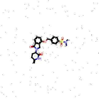 C=C1CCC(N2Cc3c(OCc4ccc(S(=O)(=O)N(C)C)cc4)cccc3C2=O)C(=O)N1